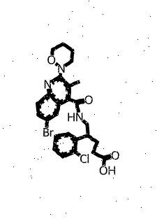 Cc1c(N2CCCCO2)nc2ccc(Br)cc2c1C(=O)NCC(CCC(=O)O)c1ccccc1Cl